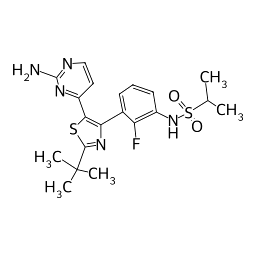 CC(C)S(=O)(=O)Nc1cccc(-c2nc(C(C)(C)C)sc2-c2ccnc(N)n2)c1F